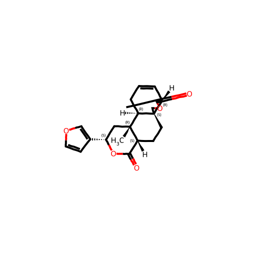 C[C@]12C[C@@H](c3ccoc3)OC(=O)[C@H]1CC[C@@]13COC(=O)[C@@H]1C=CC[C@H]23